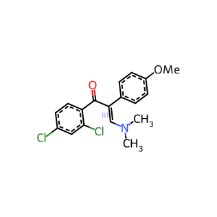 COc1ccc(/C(=C\N(C)C)C(=O)c2ccc(Cl)cc2Cl)cc1